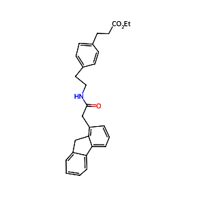 CCOC(=O)CCc1ccc(CCNC(=O)Cc2cccc3c2Cc2ccccc2-3)cc1